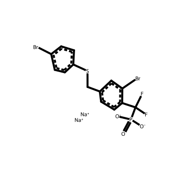 O=P([O-])([O-])C(F)(F)c1ccc(CSc2ccc(Br)cc2)cc1Br.[Na+].[Na+]